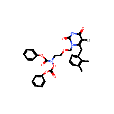 CCc1c(Cc2cccc(C)c2C)n(COCCN(OC(=O)Oc2ccccc2)C(=O)Oc2ccccc2)c(=O)[nH]c1=O